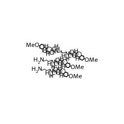 COc1ccc2c(c1)CC[C@@H]1[C@@H]2CC[C@]2(C)[C@@H](NCCCCN)CC[C@@H]12.COc1ccc2c(c1)CC[C@@H]1[C@@H]2CC[C@]2(C)[C@@H](NCCCCN)CC[C@@H]12.COc1ccc2c(c1)CC[C@@H]1[C@@H]2CC[C@]2(C)[C@@H](NCCCCN[C@H]3CC[C@H]4[C@@H]5CCc6cc(OC)ccc6[C@H]5CC[C@]34C)CC[C@@H]12